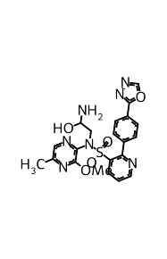 COc1nc(C)cnc1N(CC(N)O)S(=O)(=O)c1cccnc1-c1ccc(-c2nnco2)cc1